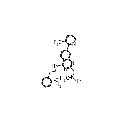 Cc1ccccc1CCNc1nc(CN(C)C(C)C)nc2cc(-c3ncccc3C(F)(F)F)ccc12